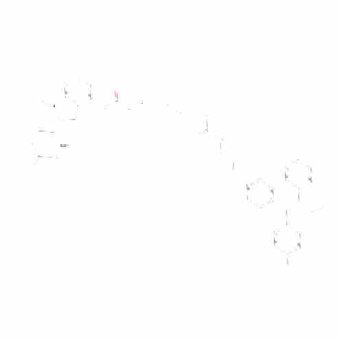 CC(OCCOCCC(=O)Nc1cccc2c1CN(C1CCC(=O)NC1=O)C2=O)C(=O)NCCOc1ccc(C(=C(CCCl)c2ccccc2)c2ccc(O)cc2)cc1